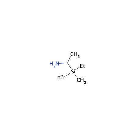 CCC[Si](C)(CC)C(C)N